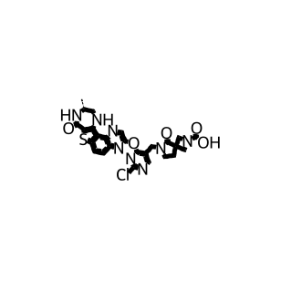 C[C@@H]1CNc2c(sc3ccc4nc(Oc5nc(Cl)ncc5CN5CCC6(CN(C(=O)O)C6)C5=O)cnc4c23)C(=O)N1